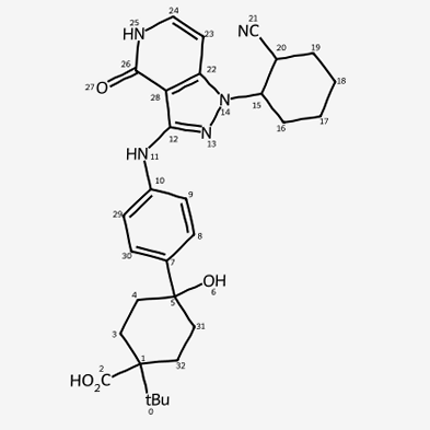 CC(C)(C)C1(C(=O)O)CCC(O)(c2ccc(Nc3nn(C4CCCCC4C#N)c4cc[nH]c(=O)c34)cc2)CC1